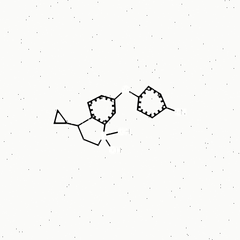 N#Cc1ccc(Oc2ccc3c(c2)S(O)(O)CCC3C2CC2)cc1